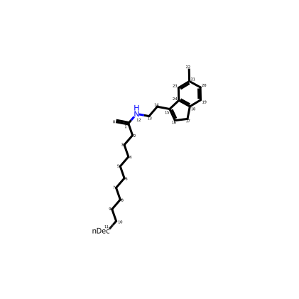 C=C(CCCCCCCCCCCCCCCCCCC)NCCC1=CCc2ccc(C)cc21